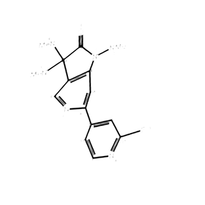 CNN1C(=O)C(NC)(NC)c2cnc(-c3ccnc(F)c3)cc21